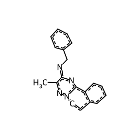 Cc1nn2ccc3ccccc3c2nc1=NCc1ccccc1